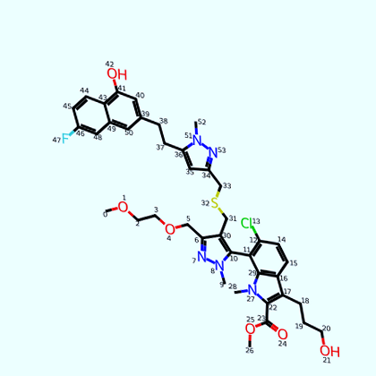 COCCOCc1nn(C)c(-c2c(Cl)ccc3c(CCCO)c(C(=O)OC)n(C)c23)c1CSCc1cc(CCc2cc(O)c3ccc(F)cc3c2)n(C)n1